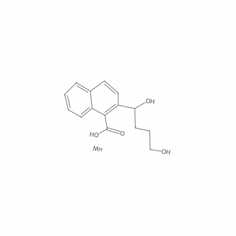 O=C(O)c1c(C(O)CCCO)ccc2ccccc12.[Mn]